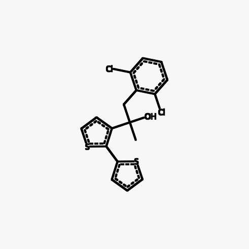 CC(O)(Cc1c(Cl)cccc1Cl)c1ccsc1-c1cccs1